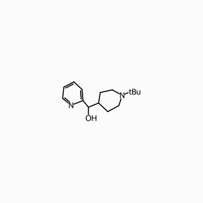 CC(C)(C)N1CCC(C(O)c2ccccn2)CC1